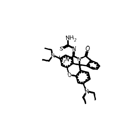 CCN(CC)c1ccc2c(c1)Oc1cc(N(CC)CC)ccc1C21c2ccccc2C(=O)N1/C(N)=N/C(N)=S